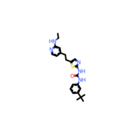 CCNc1cc(CCc2cnc(NC(=O)Nc3cccc(C(C)(C)C)c3)s2)ccn1